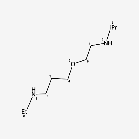 CCNCCCOCCNC(C)C